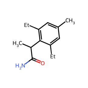 CCc1cc(C)cc(CC)c1C(C)C(N)=O